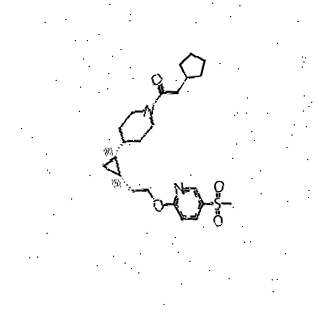 CS(=O)(=O)c1ccc(OCC[C@@H]2C[C@@H]2C2CCN(C(=O)CC3CCCC3)CC2)nc1